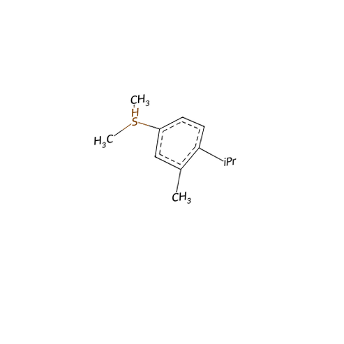 Cc1cc([SH](C)C)ccc1C(C)C